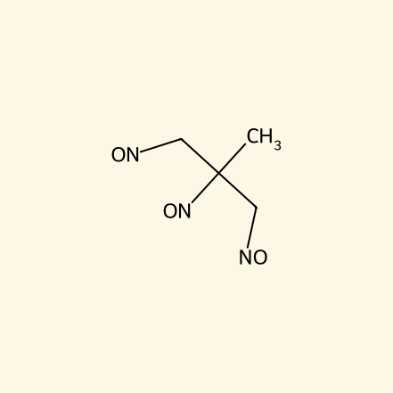 CC(CN=O)(CN=O)N=O